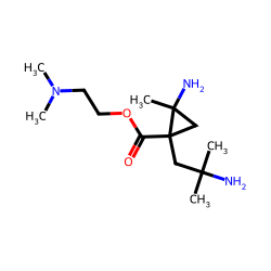 CN(C)CCOC(=O)C1(CC(C)(C)N)CC1(C)N